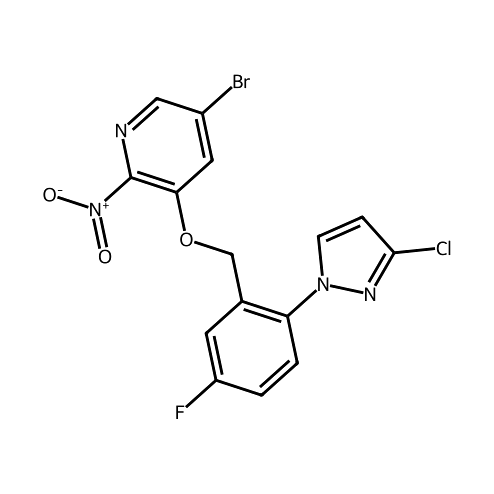 O=[N+]([O-])c1ncc(Br)cc1OCc1cc(F)ccc1-n1ccc(Cl)n1